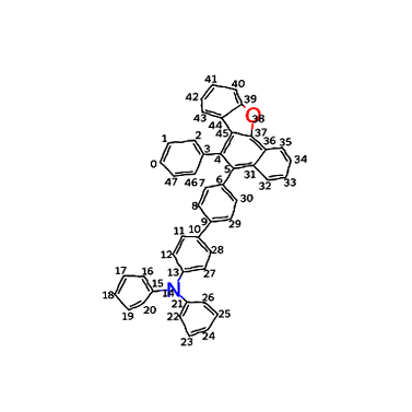 c1ccc(-c2c(-c3ccc(-c4ccc(N(c5ccccc5)c5ccccc5)cc4)cc3)c3ccccc3c3oc4ccccc4c23)cc1